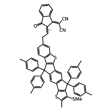 CSc1c(C)sc2c1C(c1ccc(C)cc1)(c1ccc(C)cc1)c1cc3c(cc1-2)C(c1ccc(C)cc1)(c1ccc(C)cc1)c1c-3sc2cc(C/C=C3\C(=O)c4ccccc4C3=C(C#N)C#N)ccc12